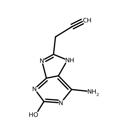 C#CCc1nc2nc(O)nc(N)c2[nH]1